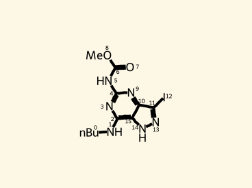 CCCCNc1nc(NC(=O)OC)nc2c(I)n[nH]c12